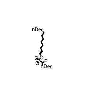 CCCCCCCCCCCCCCCCC=COS(=O)(=O)C(F)CCCCCCCCCC